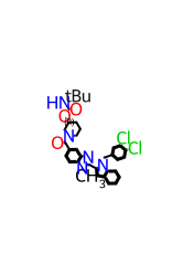 Cn1c(-c2cc3ccccc3n2Cc2ccc(Cl)c(Cl)c2)nc2cc(C(=O)N3CCC[C@@H](OC(=O)NC(C)(C)C)C3)ccc21